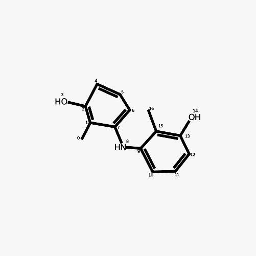 Cc1c(O)cccc1Nc1cccc(O)c1C